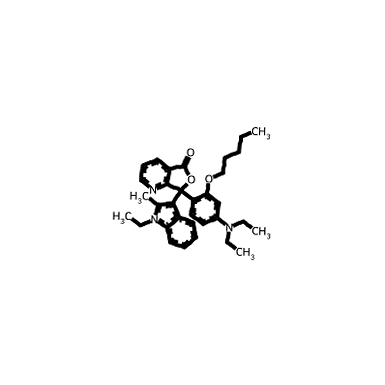 CCCCCOc1cc(N(CC)CC)ccc1C1(c2c(C)n(CC)c3ccccc23)OC(=O)c2cccnc21